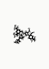 CCc1cc(C(F)(F)F)ccc1N1C[C@@H](N(Cc2cc(C(F)(F)F)cc(C(F)(F)F)c2)c2ncc(-c3cnn(C)c3)cn2)C[C@H]1CC